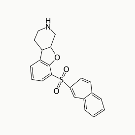 O=S(=O)(c1ccc2ccccc2c1)c1cccc2c1OC1CNCCC21